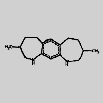 CC1CCc2cc3c(cc2NC1)NCC(C)CC3